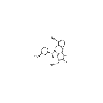 Cn1c(=O)c2c(nc(N3CCCC(N)C3)n2Cc2ccccc2C#N)n(CC#N)c1=O